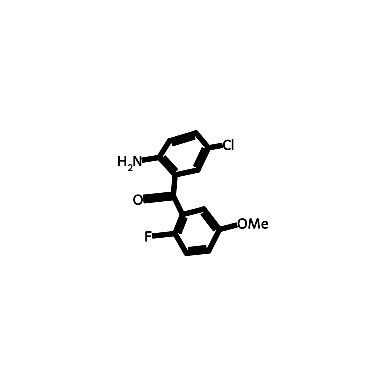 COc1ccc(F)c(C(=O)c2cc(Cl)ccc2N)c1